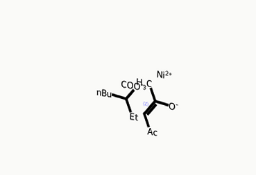 CC(=O)/C=C(/C)[O-].CCCCC(CC)C(=O)[O-].[Ni+2]